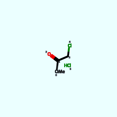 COC(=O)CCl.Cl